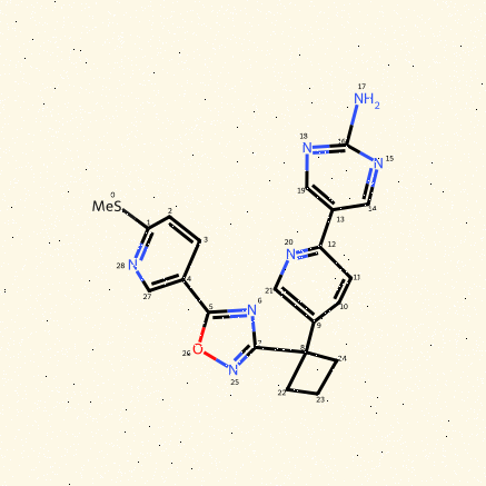 CSc1ccc(-c2nc(C3(c4ccc(-c5cnc(N)nc5)nc4)CCC3)no2)cn1